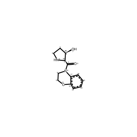 O=C([C@H]1NCC[C@H]1O)N1CCOc2ccccc21